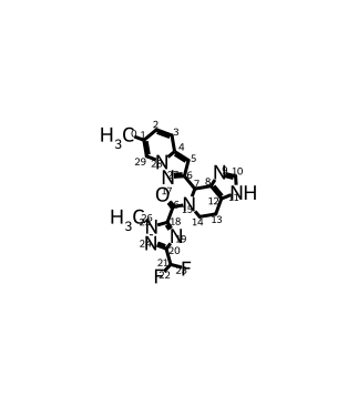 Cc1ccc2cc(C3c4nc[nH]c4CCN3C(=O)c3nc(C(F)F)nn3C)nn2c1